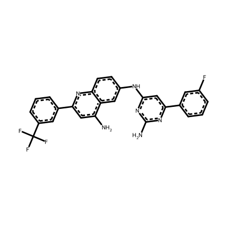 Nc1nc(Nc2ccc3nc(-c4cccc(C(F)(F)F)c4)cc(N)c3c2)cc(-c2cccc(F)c2)n1